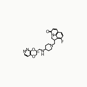 O=c1ccc2ccc(F)c3c2n1CC3CN1CCC(NC[C@H]2COc3ccnnc3O2)CC1